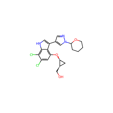 OC[C@@H]1C[C@@H]1Oc1cc(Cl)c(Cl)c2[nH]cc(-c3cnn(C4CCCCO4)c3)c12